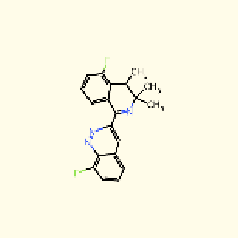 CC1c2c(F)cccc2C(c2cc3cccc(F)c3nn2)=NC1(C)C